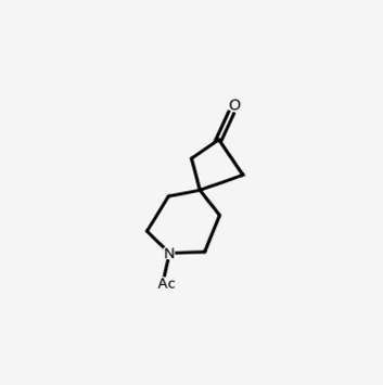 CC(=O)N1CCC2(CC1)CC(=O)C2